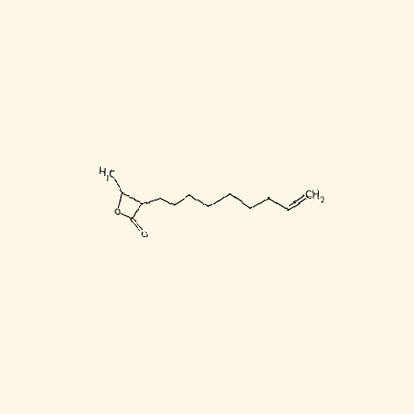 C=CCCCCCCCC1C(=O)OC1C